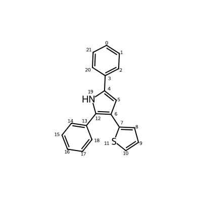 c1ccc(-c2cc(-c3cccs3)c(-c3ccccc3)[nH]2)cc1